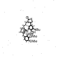 COc1ccc(CN2CCN(CCCN3C(=O)CSC3c3cc(C(C)(C)C)c(O)c(C(C)(C)C)c3)CC2)c(OC)c1OC